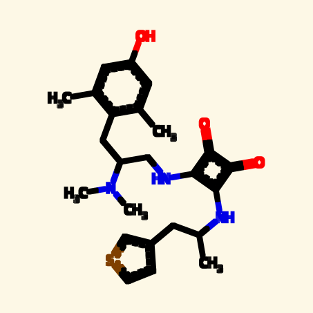 Cc1cc(O)cc(C)c1CC(CNc1c(NC(C)Cc2ccsc2)c(=O)c1=O)N(C)C